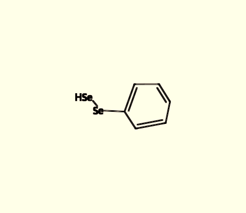 [SeH][Se]c1ccccc1